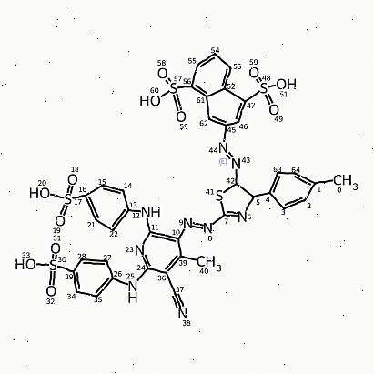 Cc1ccc(C2N=C(N=Nc3c(Nc4ccc(S(=O)(=O)O)cc4)nc(Nc4ccc(S(=O)(=O)O)cc4)c(C#N)c3C)SC2/N=N/c2cc(S(=O)(=O)O)c3cccc(S(=O)(=O)O)c3c2)cc1